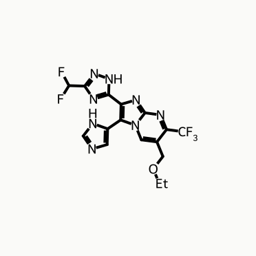 CCOCc1cn2c(-c3cnc[nH]3)c(-c3nc(C(F)F)n[nH]3)nc2nc1C(F)(F)F